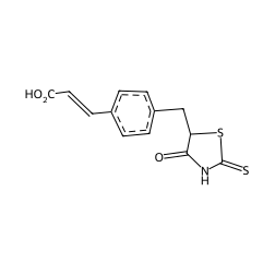 O=C(O)/C=C/c1ccc(CC2SC(=S)NC2=O)cc1